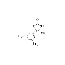 Cc1cc([C@@H]2OC(=O)N[C@@H]2C)cc(C(F)(F)F)c1